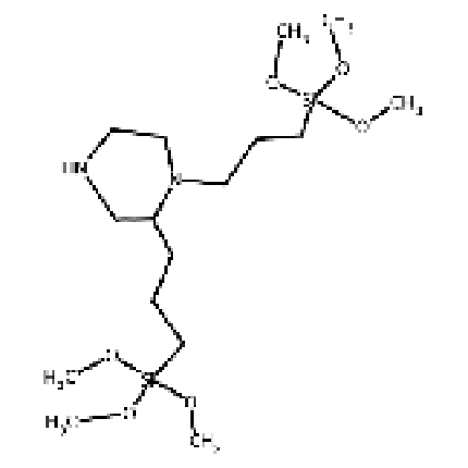 CO[Si](CCCC1CNCCN1CCC[Si](OC)(OC)OC)(OC)OC